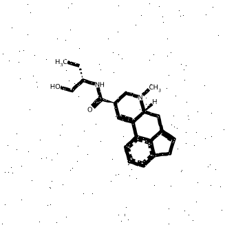 CC[C@@H](CO)NC(=O)[C@@H]1C=C2c3cccc4c3C(=CC4)C[C@H]2N(C)C1